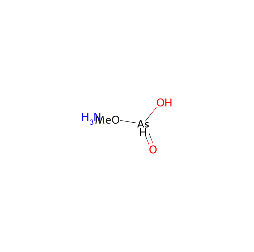 CO[AsH](=O)O.N